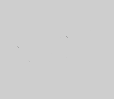 CC(C)(C)OC(=O)NC1C(C)(C)C(Oc2ccc(C#N)c3ncccc23)C1(C)C